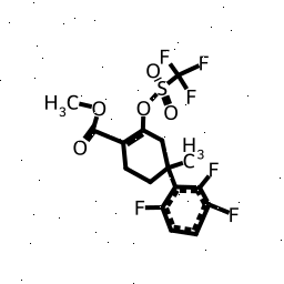 COC(=O)C1=C(OS(=O)(=O)C(F)(F)F)CC(C)(c2c(F)ccc(F)c2F)CC1